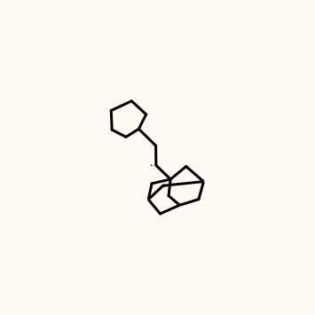 [CH](CC1CCCCC1)C12CC3CC(CC(C3)C1)C2